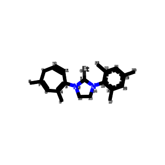 CCC1N(C2=C(C)C=C(C)CC#C2)CCN1c1c(C)cc(C)cc1C